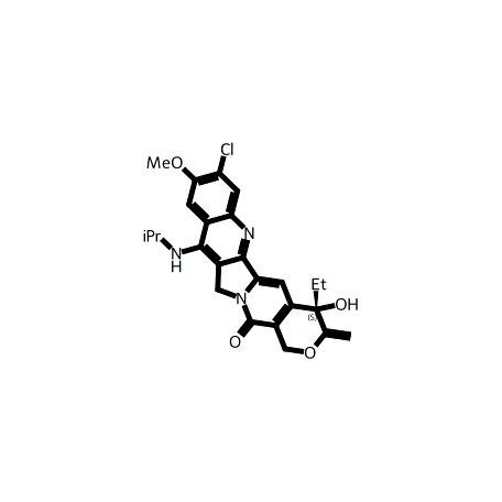 C=C1OCc2c(cc3n(c2=O)Cc2c-3nc3cc(Cl)c(OC)cc3c2NC(C)C)[C@@]1(O)CC